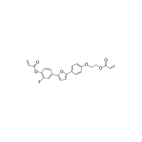 C=CC(=O)OCCOc1ccc(-c2ccc(-c3ccc(OC(=O)C=C)c(F)c3)o2)cc1